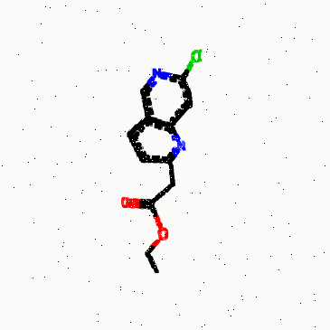 CCOC(=O)Cc1ccc2cnc(Cl)cc2n1